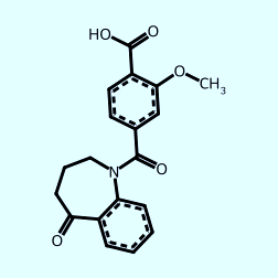 COc1cc(C(=O)N2CCCC(=O)c3ccccc32)ccc1C(=O)O